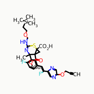 C#CCOc1cnc(/C(F)=C/c2ccc(F)c(C3(C)N=C(NCOCC[Si](C)(C)C)SC4(C(=O)O)CC43C(=O)OCCCC)c2)cn1